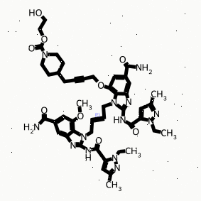 CCn1nc(C)cc1C(=O)Nc1nc2cc(C(N)=O)cc(OC)c2n1C/C=C/Cn1c(NC(=O)c2cc(C)nn2CC)nc2cc(C(N)=O)cc(OCC#CCC3CCN(C(=O)OCCO)CC3)c21